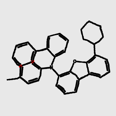 Cc1ccc(N(c2ccccc2-c2ccccc2)c2cccc3c2oc2c(C4CCCCC4)cccc23)cc1